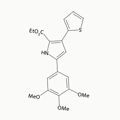 CCOC(=O)c1[nH]c(-c2cc(OC)c(OC)c(OC)c2)cc1-c1cccs1